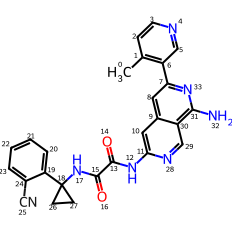 Cc1ccncc1-c1cc2cc(NC(=O)C(=O)NC3(c4ccccc4C#N)CC3)ncc2c(N)n1